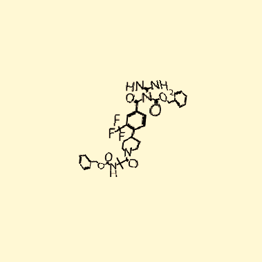 CC(C)(NC(=O)OCc1ccccc1)C(=O)N1CCC(c2ccc(C(=O)N(C(=N)N)C(=O)OCc3ccccc3)cc2C(F)(F)F)CC1